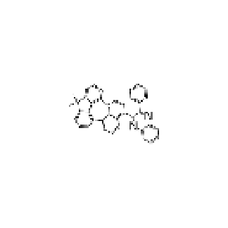 CC1(C)c2cccc3c2-c2c(cccc21)-c1ccc(-c2nc4ccccc4nc2-c2ccccc2)c2cccc-3c12